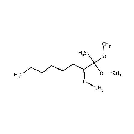 CCCCCCC(OC)C([SiH3])(OC)OC